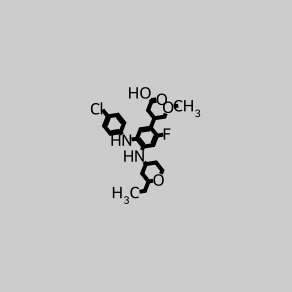 CCC1CC(Nc2cc(F)c(C(COC)CC(=O)O)cc2Nc2ccc(Cl)cc2)CCO1